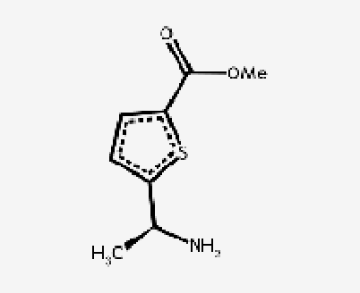 COC(=O)c1ccc([C@H](C)N)s1